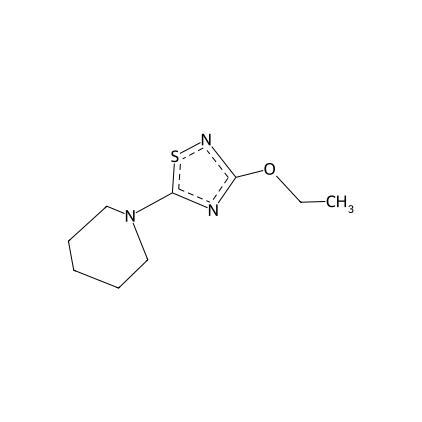 CCOc1nsc(N2CCCCC2)n1